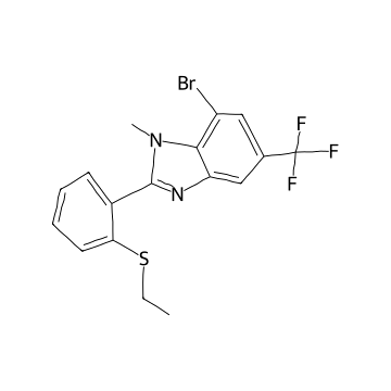 CCSc1ccccc1-c1nc2cc(C(F)(F)F)cc(Br)c2n1C